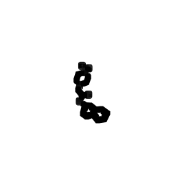 O=C(CN1CCS(=O)(=O)CC1)Oc1ccc2ccccc2c1